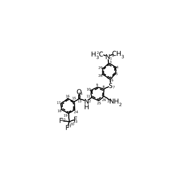 CN(C)c1ccc(Sc2ccc(NC(=O)c3cccc(C(F)(F)F)c3)cc2N)cc1